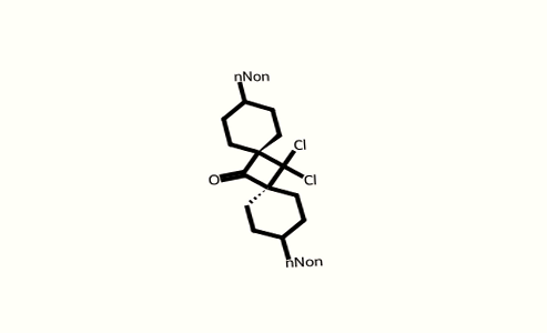 CCCCCCCCCC1CC[C@]2(CC1)C(=O)[C@@]1(CCC(CCCCCCCCC)CC1)C2(Cl)Cl